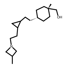 CC1CN(CCC2CC2CC[C@H]2CC[C@@](C)(CO)CC2)C1